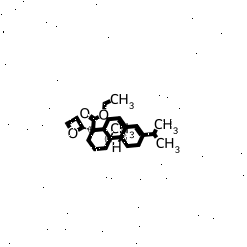 CCOC(=O)[C@]1(C2CCO2)CCC[C@@]2(C)C1CC=C1C=C(C(C)C)CC[C@@H]12